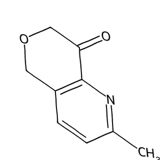 Cc1ccc2c(n1)C(=O)COC2